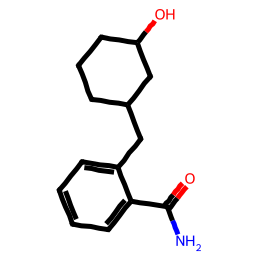 NC(=O)c1ccccc1CC1CCCC(O)C1